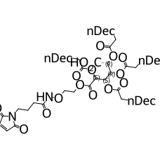 CCCCCCCCCCCC(=O)O[C@H]([C@H](OC(=O)CCCCCCCCCCC)[C@H](OC(=O)CCCCCCCCCCC)C(=O)OCCONC(=O)CCCN1C(=O)C=CC1=O)[C@@H](OC(=O)CCCCCCCCCCC)C(=O)O